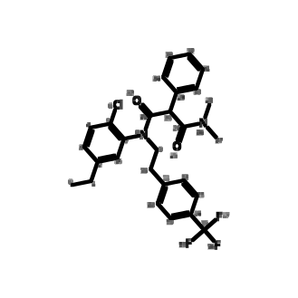 CCc1ccc(Cl)c(N(CCc2ccc(C(F)(F)F)cc2)C(=O)C(C(=O)N(C)C)c2ccccc2)c1